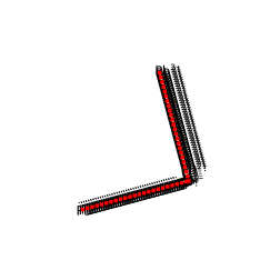 [O-2].[O-2].[O-2].[O-2].[O-2].[O-2].[O-2].[O-2].[O-2].[Pb+2].[Pb+2].[Pb+2].[Pb+2].[Pb+2].[Pb+2].[Pb+2].[Pb+2].[Pb+2].[Pb+2].[Pb+2].[Pb+2].[Pb+2].[Pb+2].[Pb+2].[Pb+2].[Pb+2].[Pb+2].[Pb+2].[Pb+2].[Pb+2].[Pb+2].[Pb+2].[Pb+2].[Pb+2].[Pb+2].[Pb+2].[Pb+2].[Pb+2].[Pb+2].[Pb+2].[Pb+2].[Pb+2].[Pb+2].[Pb+2].[Pb+2].[Pb+2].[Pb+2].[Pb+2].[Pb+2].[Pb+2].[Pb+2].[Pb+2].[Pb+2].[Pb+2].[Pb+2].[Pb+2].[Pb+2].[Pb+2].[Pb+2].[Pb+2].[Pb+2].[Pb+2].[Pb+2].[Pb+2].[Pb+2].[Pb+2].[Pb+2].[Pb+2].[Pb+2].[Pb+2].[Pb+2].[Pb+2].[Pb+2].[Pb+2].[Pb+2].[Pb+2].[Pb+2].[Pb+2].[Pb+2].[Pb+2].[Pb+2].[Pb+2].[Pb+2].[Pb+2].[Pb+2].[Pb+2].[Pb+2].[Pb+2].[Pb+2].[Pb+2].[Pb+2].[Pb+2].[Pb+2].[Pb+2]